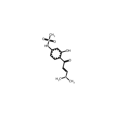 CN(C)C=CC(=O)c1ccc(NS(C)(=O)=O)cc1O